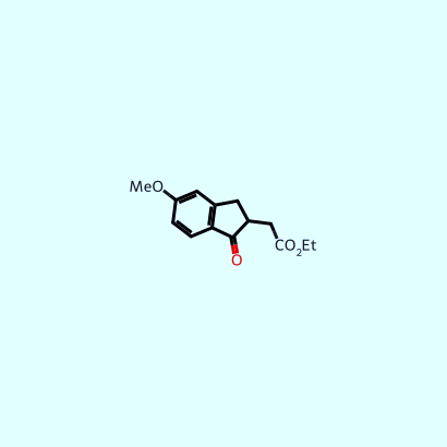 CCOC(=O)CC1Cc2cc(OC)ccc2C1=O